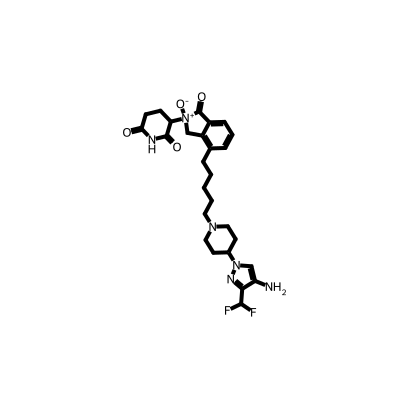 Nc1cn(C2CCN(CCCCCc3cccc4c3C[N+]([O-])(C3CCC(=O)NC3=O)C4=O)CC2)nc1C(F)F